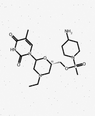 CCN1CC(n2cc(C)c(=O)[nH]c2=O)O[C@H](COP(C)(=O)N2CCC(N)CC2)C1